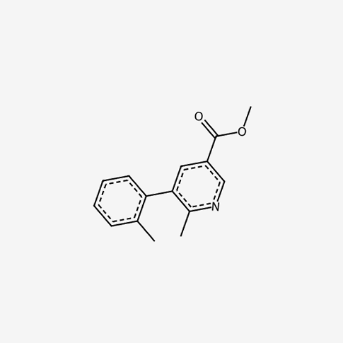 COC(=O)c1cnc(C)c(-c2ccccc2C)c1